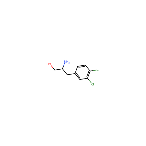 NC(CO)Cc1ccc(Cl)c(Cl)c1